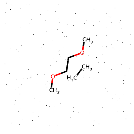 CC.COCCOC